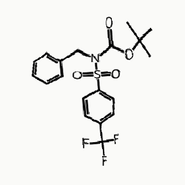 CC(C)(C)OC(=O)N(Cc1ccccc1)S(=O)(=O)c1ccc(C(F)(F)F)cc1